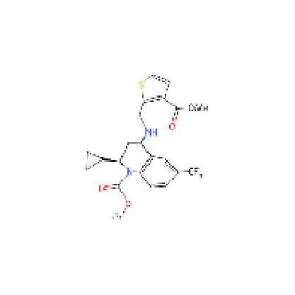 COC(=O)c1ccsc1CN[C@@H]1C[C@H](C2CC2)N(C(=O)OC(C)C)c2ccc(C(F)(F)F)cc21